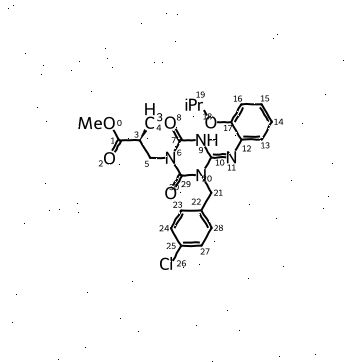 COC(=O)[C@@H](C)Cn1c(=O)[nH]/c(=N\c2ccccc2OC(C)C)n(Cc2ccc(Cl)cc2)c1=O